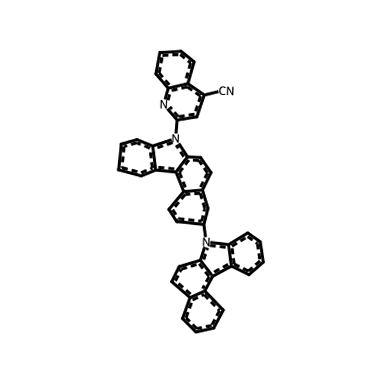 N#Cc1cc(-n2c3ccccc3c3c4ccc(-n5c6ccccc6c6c7ccccc7ccc65)cc4ccc32)nc2ccccc12